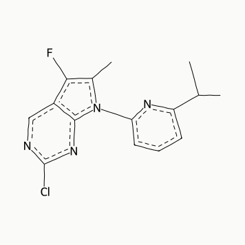 Cc1c(F)c2cnc(Cl)nc2n1-c1cccc(C(C)C)n1